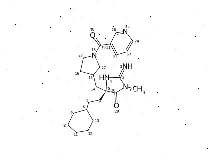 CN1C(=N)N[C@@](CCC2CCCCC2)(CC2CCN(C(=O)c3cccnc3)C2)C1=O